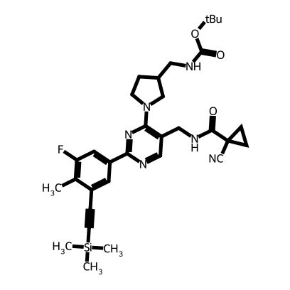 Cc1c(F)cc(-c2ncc(CNC(=O)C3(C#N)CC3)c(N3CCC(CNC(=O)OC(C)(C)C)C3)n2)cc1C#C[Si](C)(C)C